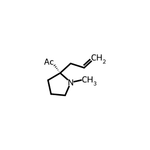 C=CC[C@]1(C(C)=O)CCCN1C